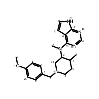 COc1ccc(CN2CCC(C)C(N(C)c3ncnc4[nH]ccc34)C2)cc1